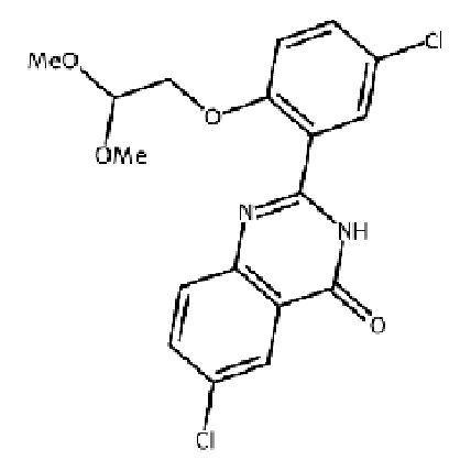 COC(COc1ccc(Cl)cc1-c1nc2ccc(Cl)cc2c(=O)[nH]1)OC